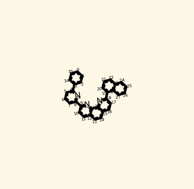 c1ccc(-c2cccc(-c3ccc4ccc5ccc(-c6cccc7ccccc67)nc5c4n3)n2)cc1